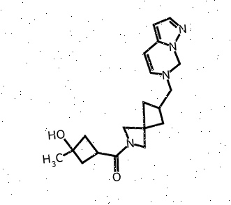 CC1(O)CC(C(=O)N2CC3(CC(CN4C=Cc5ccnn5C4)C3)C2)C1